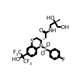 C[C@@](O)(CO)CNC(=O)C[C@H]1CSc2cc(C(O)(C(F)(F)F)C(F)(F)F)ccc2N1S(=O)(=O)c1ccc(F)cc1